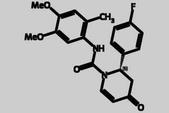 COc1cc(C)c(NC(=O)N2C=CC(=O)C[C@H]2c2ccc(F)cc2)cc1OC